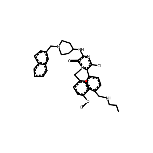 CCCNCc1ccc(-c2c(Cl)nc(NC3CCN(Cc4ccc5ccccc5c4)CC3)c(=O)n2Cc2ccc(OCl)cc2)cc1